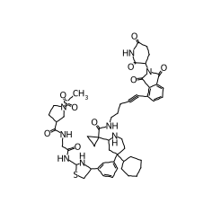 CS(=O)(=O)N1CCC(C(=O)NCC(=O)NC2NC(c3cccc(C4(C5CCCCCC5)CCNC(C5(C(=O)NCCCC#Cc6cccc7c6C(=O)N(C6CCC(=O)NC6=O)C7=O)CC5)C4)c3)CS2)C1